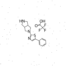 O=C(O)C(F)(F)F.c1ccc(-c2cnc(N3CC4CNCC4C3)s2)cc1